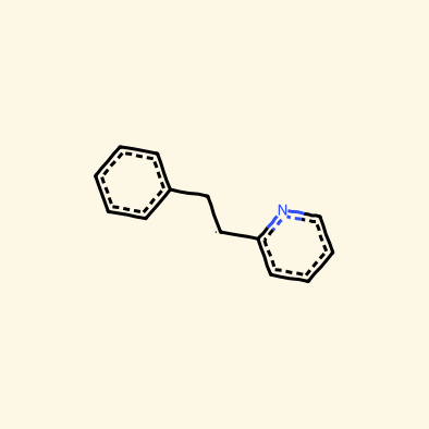 [CH](Cc1ccccc1)c1ccccn1